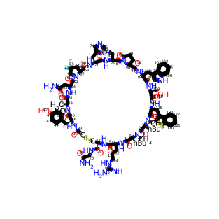 CCCCC1C(=O)N(C)[C@@H](CCCC)C(=O)NC(CCCNC(=N)N)C(=O)N[C@H](C(=O)NCC(N)=O)CSCC(=O)N[C@@H](Cc2ccc(O)cc2)C(=O)N(C)[C@@H](C)C(=O)NC(CC(N)=O)C(=O)N2CC(F)(F)C[C@H]2C(=O)N[C@@H](Cc2cnc[nH]2)C(=O)NC(CC(C)C)C(=O)N2CCCC2C(=O)NC(Cc2c[nH]c3ccccc23)C(=O)N[C@@H](CO)C(=O)NC(Cc2csc3ccccc23)C(=O)N1C